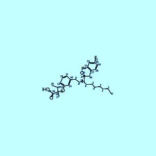 CCCCCCCN(CCc1cccc(OC(C)(CC)C(=O)O)c1)C(=O)Cc1ccc(F)cc1F